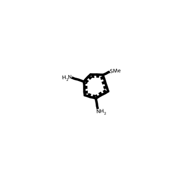 CSc1cc(N)cc(N)c1